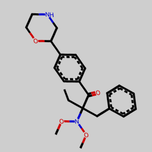 CCC(Cc1ccccc1)(C(=O)c1ccc(C2CNCCO2)cc1)N(OC)OC